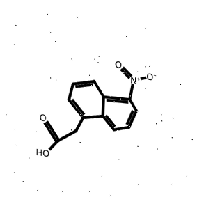 O=C(O)Cc1cccc2c([N+](=O)[O-])cccc12